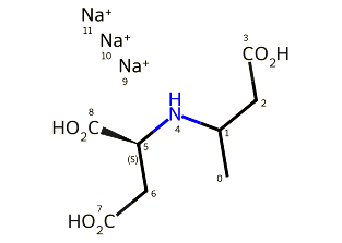 CC(CC(=O)O)N[C@@H](CC(=O)O)C(=O)O.[Na+].[Na+].[Na+]